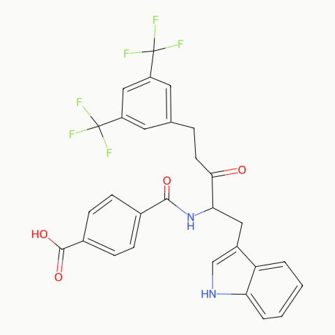 O=C(O)c1ccc(C(=O)NC(Cc2c[nH]c3ccccc23)C(=O)CCc2cc(C(F)(F)F)cc(C(F)(F)F)c2)cc1